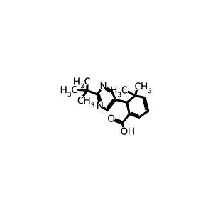 CC(C)(C)c1ncc(C2C(C(=O)O)=CC=CC2(C)C)cn1